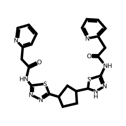 O=C(Cc1ccccn1)NC1=NNC(C2CCC(c3nnc(NC(=O)Cc4ccccn4)s3)C2)S1